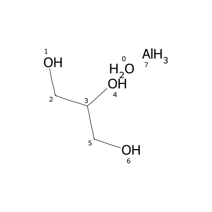 O.OCC(O)CO.[AlH3]